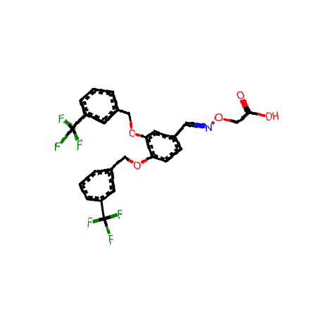 O=C(O)CO/N=C/c1ccc(OCc2cccc(C(F)(F)F)c2)c(OCc2cccc(C(F)(F)F)c2)c1